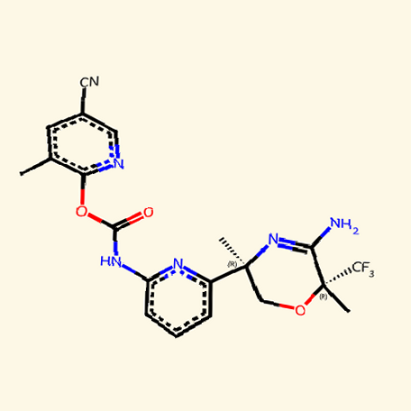 Cc1cc(C#N)cnc1OC(=O)Nc1cccc([C@]2(C)CO[C@@](C)(C(F)(F)F)C(N)=N2)n1